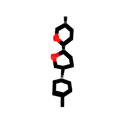 CC1=CC[C@H](C2CC[C@@H](C3CC[C@@H](C)CO3)OC2)CC1